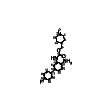 CN1CCC(COC(=O)Nc2cc(-c3ccc(F)cc3)ccc2N)CC1